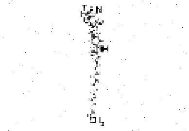 CCCCCCCCCCCCCCCCCC(=O)Nc1ccc(CCOC(=O)C(C#N)C(=O)C(F)(F)F)cc1